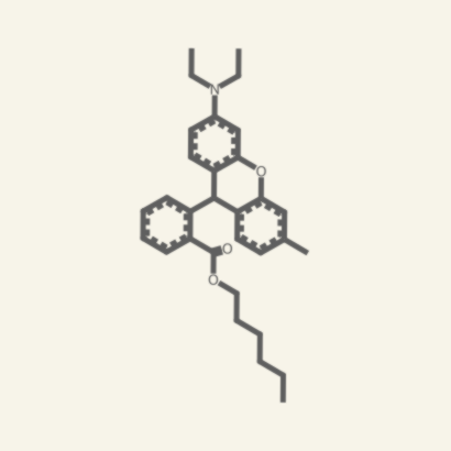 CCCCCCOC(=O)c1ccccc1C1c2ccc(C)cc2Oc2cc(N(CC)CC)ccc21